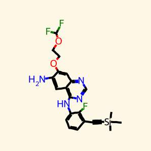 C[Si](C)(C)C#Cc1cccc(Nc2ncnc3cc(OCCOC(F)F)c(N)cc23)c1F